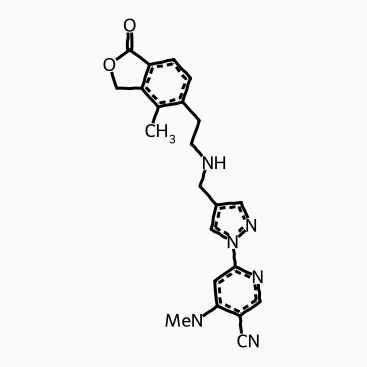 CNc1cc(-n2cc(CNCCc3ccc4c(c3C)COC4=O)cn2)ncc1C#N